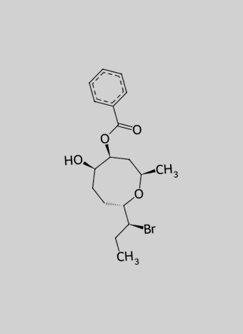 CC[C@H](Br)[C@@H]1CC[C@@H](O)[C@@H](OC(=O)c2ccccc2)C[C@@H](C)O1